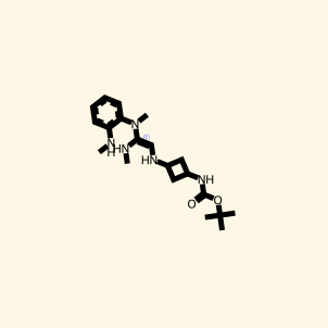 CN/C(=C\NC1CC(NC(=O)OC(C)(C)C)C1)N(C)c1ccccc1NC